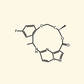 CC1Nc2ccn3ncc(c3n2)C(=O)O[C@H](C)CCOc2ccc(F)cc21